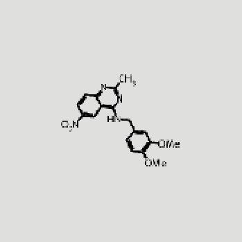 COc1ccc(CNc2nc(C)nc3ccc([N+](=O)[O-])cc23)cc1OC